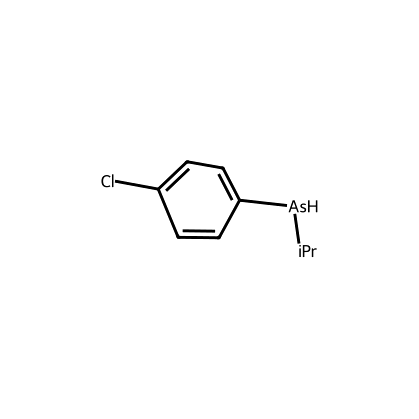 CC(C)[AsH]c1ccc(Cl)cc1